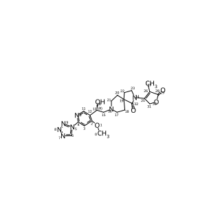 COc1cc(-n2cnnn2)ncc1[C@@H](O)CN1CCC2(CC1)CCN(C1=C(C)C(=O)OC1)C2=O